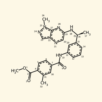 COC(=O)c1ccc(C(=O)Nc2cccc([C@H](C)Nc3cnc4cnn(C)c4n3)c2)cc1C